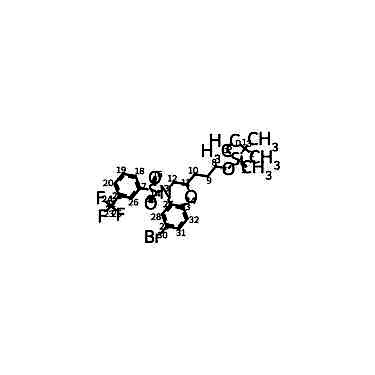 CC(C)(C)[Si](C)(C)OCCCC1CN(S(=O)(=O)c2cccc(C(F)(F)F)c2)c2cc(Br)ccc2O1